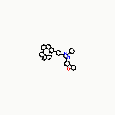 c1ccc(-c2nc(-c3ccc(-c4cc5ccc6cccc7c8cccc9ccc%10cccc(c(c4)c5c67)c%10c98)cc3)cc(-c3ccc4oc5ccccc5c4c3)n2)cc1